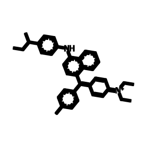 CCC(C)c1ccc(Nc2ccc(C(=C3C=CC(=[N+](CC)CC)C=C3)c3ccc(C)cc3)c3ccccc23)cc1